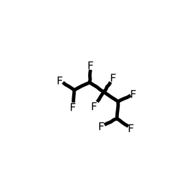 FC(F)C(F)C(F)(F)C(F)C(F)F